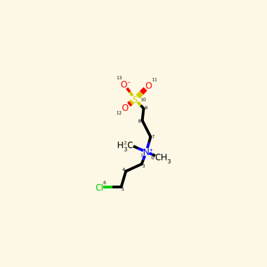 C[N+](C)(CCCCl)CCCS(=O)(=O)[O-]